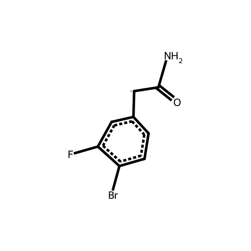 NC(=O)[CH]c1ccc(Br)c(F)c1